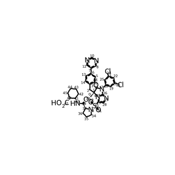 C[C@@]1(Cc2ccc(-c3cncnc3)cc2)C(=O)N(c2cc(Cl)cc(Cl)c2)c2ncc(S(=O)(=O)N3CCC[C@H]3C(=O)N[C@H]3CCCC[C@@H]3C(=O)O)n21